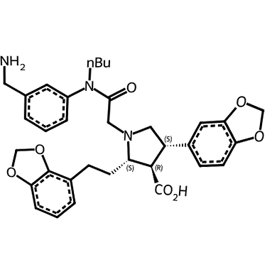 CCCCN(C(=O)CN1C[C@H](c2ccc3c(c2)OCO3)[C@@H](C(=O)O)[C@@H]1CCc1cccc2c1OCO2)c1cccc(CN)c1